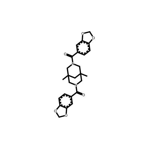 CC12CN(C(=O)c3ccc4c(c3)OCO4)CC(C)(CN(C(=O)c3ccc4c(c3)OCO4)C1)C2